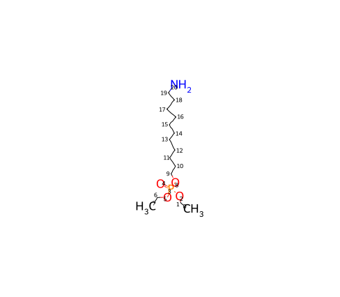 CCOP(=O)(OCC)OCCCCCCCCCCCN